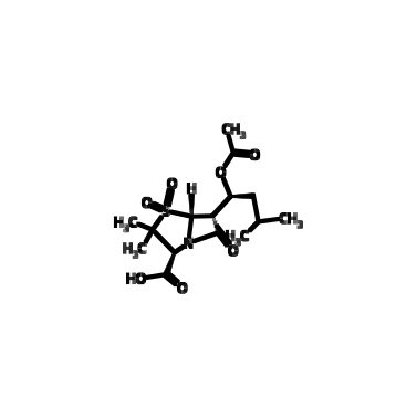 CC(=O)O[C@@H](CC(C)C)[C@@H]1C(=O)N2[C@@H](C(=O)O)C(C)(C)S(=O)(=O)[C@H]12